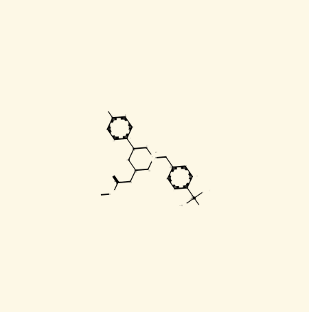 COC(=O)CC1CC(c2ccc(O)cc2)CN(Cc2ccc(C(F)(F)F)cc2)C1